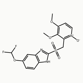 COc1cc[n+]([O-])c(CS(=O)(=O)c2nc3cc(OC(F)F)ccc3[nH]2)c1OC